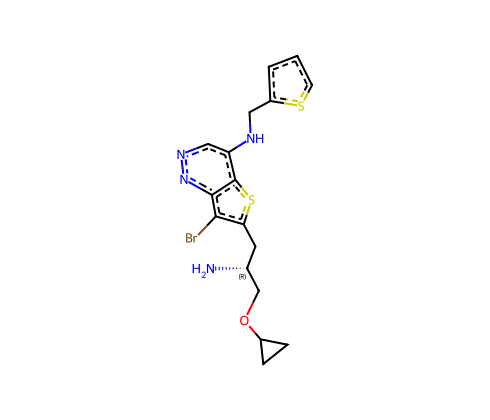 N[C@@H](COC1CC1)Cc1sc2c(NCc3cccs3)cnnc2c1Br